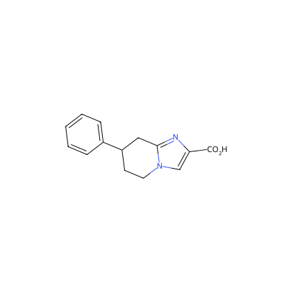 O=C(O)c1cn2c(n1)CC(c1ccccc1)CC2